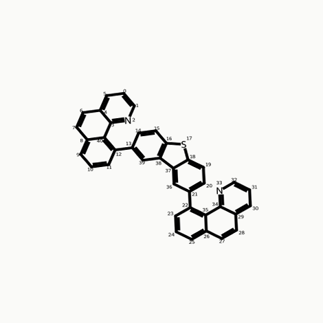 c1cnc2c(c1)ccc1cccc(-c3ccc4sc5ccc(-c6cccc7ccc8cccnc8c67)cc5c4c3)c12